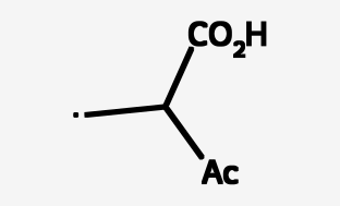 [CH2]C(C(C)=O)C(=O)O